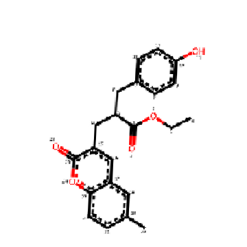 CCOC(=O)C(Cc1ccc(O)cc1)Cc1cc2cc(C)ccc2oc1=O